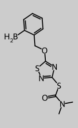 Bc1ccccc1COc1nc(SC(=O)N(C)C)ns1